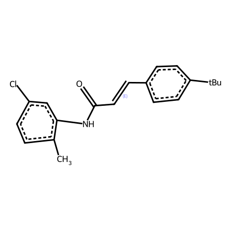 Cc1ccc(Cl)cc1NC(=O)/C=C/c1ccc(C(C)(C)C)cc1